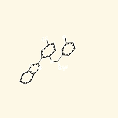 O=C(O)[C@H](Oc1ccc(C(F)(F)F)cc1-c1nc2ccccc2o1)c1cccc(Cl)c1